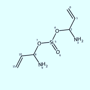 C=CC(N)O[Si](=O)OC(N)C=C